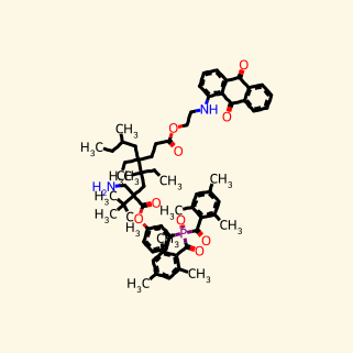 CCC(C)CC(CC)(CCC(=O)OCCNc1cccc2c1C(=O)c1ccccc1C2=O)C(C)(CC)CC(CN)(C(=O)Oc1cccc(P(=O)(C(=O)c2c(C)cc(C)cc2C)C(=O)c2c(C)cc(C)cc2C)c1)C(C)(C)C